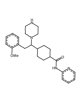 COc1ccccc1CC(C1CCC(C(=O)Nc2ccccn2)CC1)N1CCNCC1